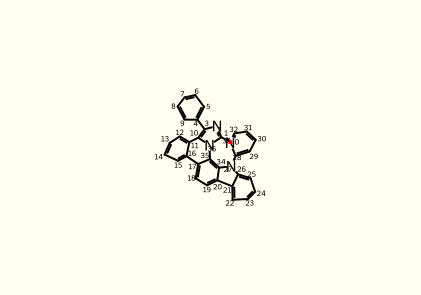 Cc1nc(-c2ccccc2)c2c3ccccc3c3ccc4c5ccccc5n(-c5ccccn5)c4c3n12